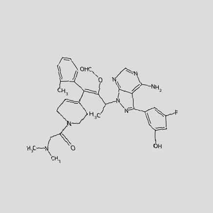 Cc1ccccc1/C(C1=CCN(C(=O)CN(C)C)CC1)=C(\OC=O)C(C)n1nc(-c2cc(O)cc(F)c2)c2c(N)ncnc21